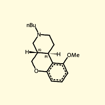 [CH2]CCCN1CC[C@H]2c3c(OC)cccc3OC[C@@H]2C1